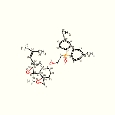 CO[C@@H]1[C@H](OCCP(=O)(c2ccc(C)cc2)c2ccc(C)cc2)CC[C@]2(CO2)[C@H]1[C@@]1(C)O[C@@H]1CC=C(C)C